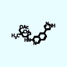 CC(=O)OCC(C)(C)CC(=O)Nc1cc2cc(-c3cn[nH]c3)ccc2cn1